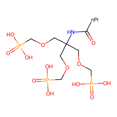 CCCC(=O)NC(COCP(=O)(O)O)(COCP(=O)(O)O)COCP(=O)(O)O